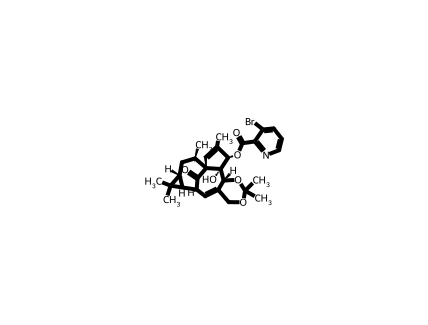 CC1=C[C@]23C(=O)[C@@H](C=C4COC(C)(C)O[C@H]4[C@]2(O)[C@H]1OC(=O)c1ncccc1Br)[C@H]1[C@@H](C[C@H]3C)C1(C)C